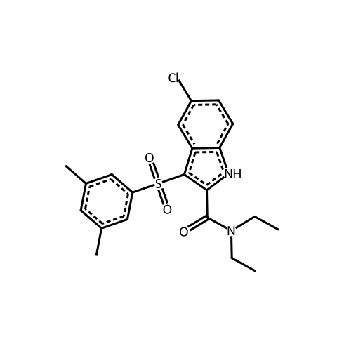 CCN(CC)C(=O)c1[nH]c2ccc(Cl)cc2c1S(=O)(=O)c1cc(C)cc(C)c1